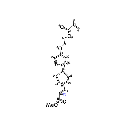 C=C(C)C(=O)OCCOc1cnc(-c2ccc(/C=C/C(=O)OC)cc2)nc1